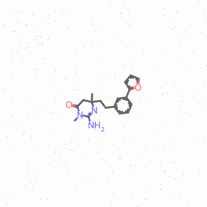 CN1C(=O)CC(C)(CCc2cccc(-c3ccco3)c2)N=C1N